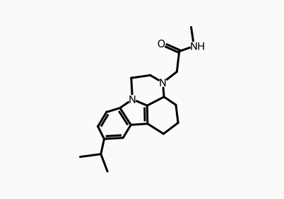 CNC(=O)CN1CCn2c3c(c4cc(C(C)C)ccc42)CCCC31